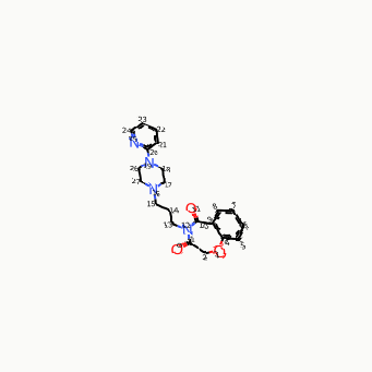 O=C1COc2ccccc2C(=O)N1CCCN1CCN(c2ccccn2)CC1